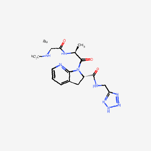 CC[C@H](C)[C@H](NC(=O)O)C(=O)N[C@@H](C)C(=O)N1c2ncccc2C[C@H]1C(=O)NCc1nn[nH]n1